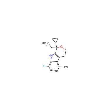 N#Cc1ccc(F)c2[nH]c3c(c12)CCOC3(CC(=O)O)C1CC1